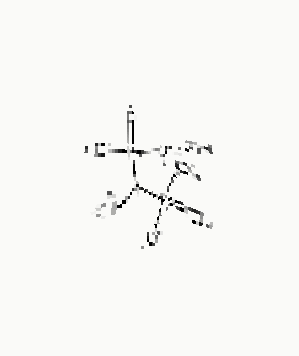 O=P([O-])([O-])C(Cl)P(=O)([O-])[O-].[Zr+4]